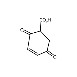 O=C1C=CC(=O)C(C(=O)O)C1